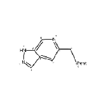 CCCC(C)Cc1cc2cn[nH]c2cn1